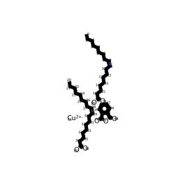 CCCCCCCC/C=C\CCCCCCCC(=O)[O-].CCCCCCCC/C=C\CCCCCCCC(=O)[O-].O=C1OC(=O)c2ccccc21.[Cu+2]